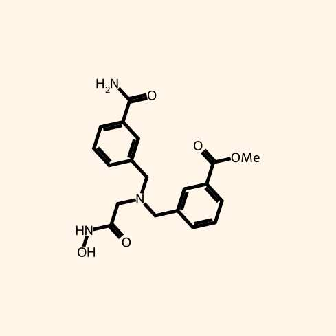 COC(=O)c1cccc(CN(CC(=O)NO)Cc2cccc(C(N)=O)c2)c1